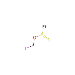 CCS(=S)OCI